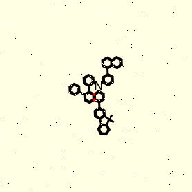 CC1(C)c2ccccc2-c2ccc(-c3ccc(N(c4cccc(-c5cccc6ccccc56)c4)c4ccccc4-c4ccccc4-c4ccccc4)cc3)cc21